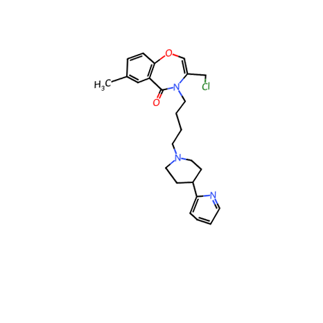 Cc1ccc2c(c1)C(=O)N(CCCCN1CCC(c3ccccn3)CC1)C(CCl)=CO2